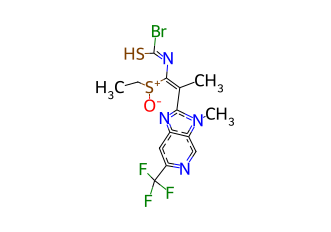 CC[S+]([O-])C(/N=C(\S)Br)=C(/C)c1nc2cc(C(F)(F)F)ncc2n1C